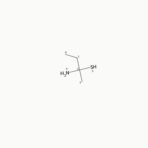 CCC(C)(N)S